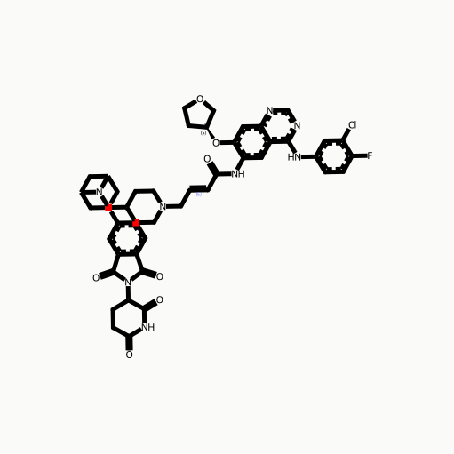 O=C(/C=C/CN1CCC(CN2C3CC2CN(c2ccc4c(c2)C(=O)N(C2CCC(=O)NC2=O)C4=O)C3)CC1)Nc1cc2c(Nc3ccc(F)c(Cl)c3)ncnc2cc1O[C@H]1CCOC1